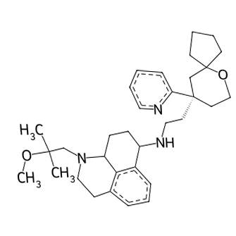 COC(C)(C)CN1CCc2cccc3c2C1CCC3NCC[C@@]1(c2ccccn2)CCOC2(CCCC2)C1